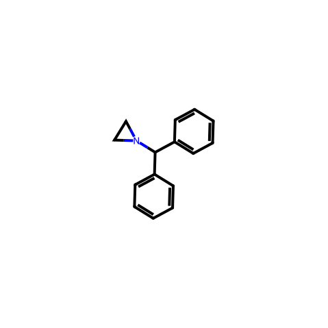 c1ccc(C(c2ccccc2)N2CC2)cc1